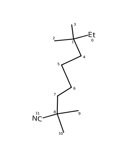 CCC(C)(C)CCCCC(C)(C)C#N